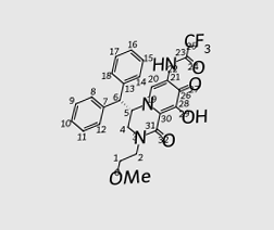 COCCN1C[C@H](C(c2ccccc2)c2ccccc2)n2cc(NC(=O)C(F)(F)F)c(=O)c(O)c2C1=O